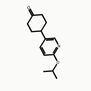 CC(C)Oc1ccc(C2CCC(=O)CC2)cn1